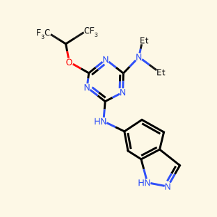 CCN(CC)c1nc(Nc2ccc3cn[nH]c3c2)nc(OC(C(F)(F)F)C(F)(F)F)n1